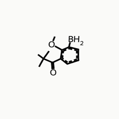 Bc1cccc(C(=O)C(C)(C)C)c1OC